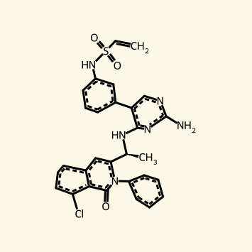 C=CS(=O)(=O)Nc1cccc(-c2cnc(N)nc2N[C@@H](C)c2cc3cccc(Cl)c3c(=O)n2-c2ccccc2)c1